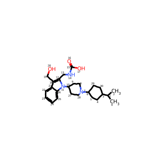 CC(C)C1CCC(N2CCC(n3c(CNC(=O)O)c(CO)c4ccccc43)CC2)CC1